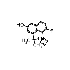 CC(C)(C)c1cc(O)cc2ccc(F)c(C34CC(C3)C4)c12